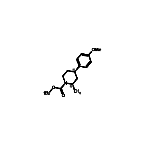 COc1ccc([C@@H]2CCN(C(=O)OC(C)(C)C)[C@H](C)C2)cc1